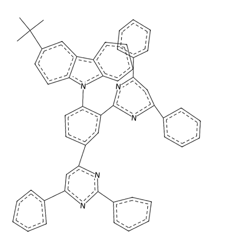 CC(C)(C)c1ccc2c(c1)c1ccccc1n2-c1ccc(-c2cc(-c3ccccc3)nc(-c3ccccc3)n2)cc1-c1nc(-c2ccccc2)cc(-c2ccccc2)n1